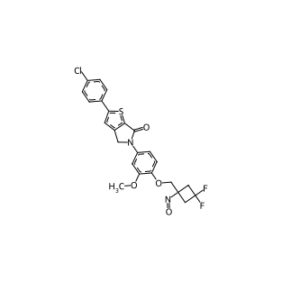 COc1cc(N2Cc3cc(-c4ccc(Cl)cc4)sc3C2=O)ccc1OCC1(N=O)CC(F)(F)C1